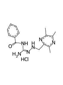 Cc1nc(C)c(CNN=C(N)NC(=O)c2ccccc2)nc1C.Cl